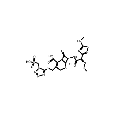 CNc1nc(/C(=N/OC)C(=O)N[C@@H]2C(=O)N3C(C(=O)O)=C(CSc4nnnn4CS(=O)(=O)O)CS[C@H]23)ns1